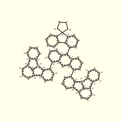 c1ccc2c(c1)-c1c(-c3c4cccc(-c5cccc6c7cccc8c9ccccc9n(c56)c87)c4cc4c(-c5cccc6c7cccc8c9ccccc9n(c56)c87)cccc34)cccc1C21CCCC1